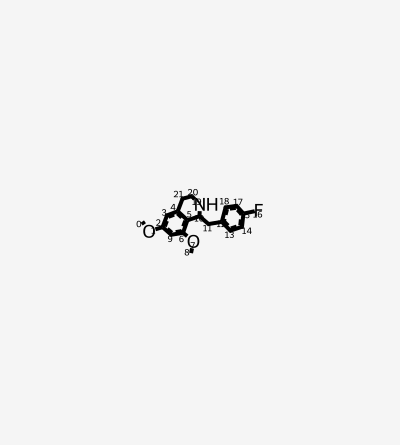 COc1cc2c(c(OC)c1)C(Cc1ccc(F)cc1)NCC2